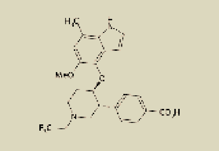 COc1cc(C)c2[nH]ccc2c1O[C@@H]1CCN(CC(F)(F)F)C[C@H]1c1ccc(C(=O)O)cc1